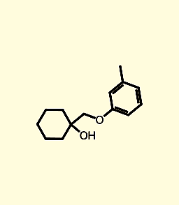 Cc1cccc(OCC2(O)CCCCC2)c1